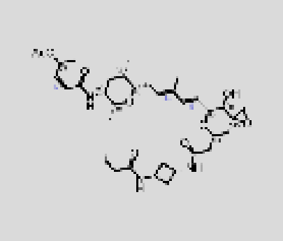 CC(=O)O[C@@H](C)/C=C\C(=O)N[C@@H]1C[C@H](C)[C@H](C/C=C(C)/C=C/[C@H]2O[C@H](CC(=O)N[C@H]3C[C@H](NC(=O)CI)C3)C[C@@]3(CO3)[C@@H]2O)O[C@@H]1C